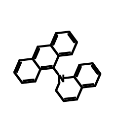 C1=Cc2ccccc2N(c2c3ccccc3cc3ccccc23)C1